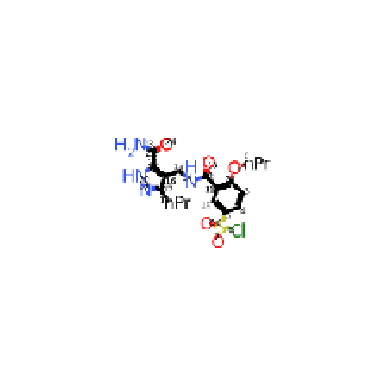 CCCOc1ccc(S(=O)(=O)Cl)cc1C(=O)NCc1c(CCC)n[nH]c1C(N)=O